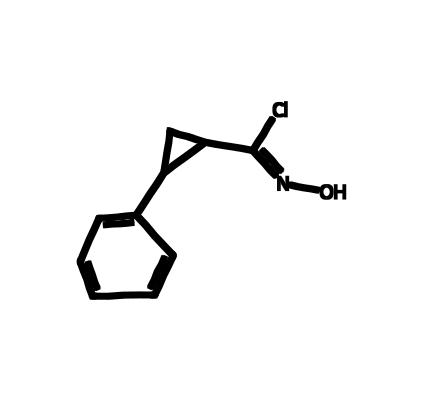 ON=C(Cl)C1CC1c1ccccc1